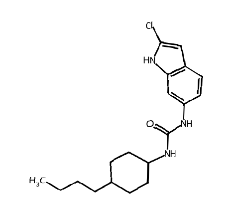 CCCCC1CCC(NC(=O)Nc2ccc3cc(Cl)[nH]c3c2)CC1